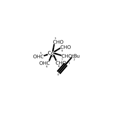 C#CC(C)(C)C.O=[CH][Co]([CH]=O)([CH]=O)([CH]=O)([CH]=O)[CH]=O